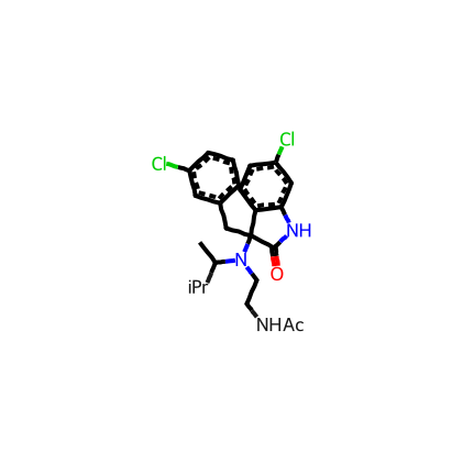 CC(=O)NCCN(C(C)C(C)C)C1(Cc2cccc(Cl)c2)C(=O)Nc2cc(Cl)ccc21